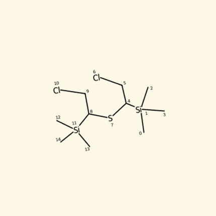 C[Si](C)(C)C(CCl)SC(CCl)[Si](C)(C)C